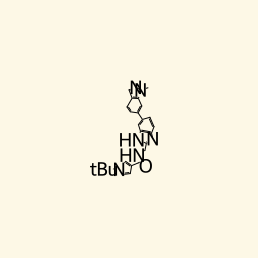 Cn1ncc2ccc(-c3ccc4nc(CNC(=O)c5ccn(C(C)(C)C)c5)[nH]c4c3)cc21